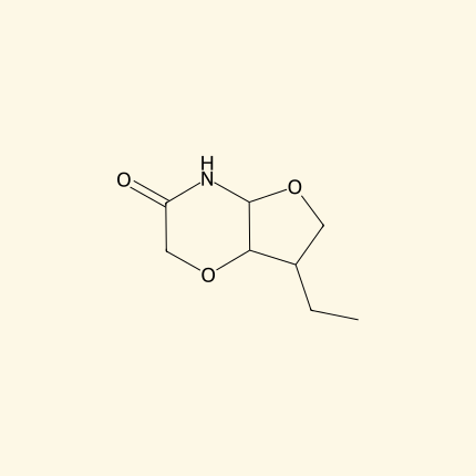 CCC1COC2NC(=O)COC12